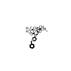 CC(C)(C)OC(=O)N(C[C@H]1COC(C)(C)O1)[C@H]1CCN(Cc2ccccc2)C1